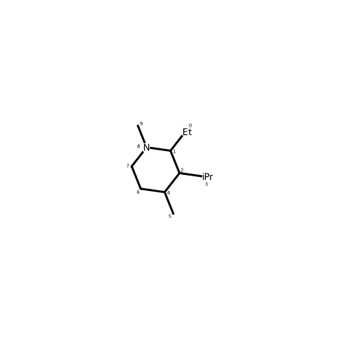 CCC1C(C(C)C)C(C)CCN1C